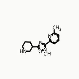 Cc1cccc(-c2noc(C3CCCNC3)n2)n1.Cl